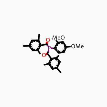 COc1ccc(P(C(=O)c2c(C)cc(C)cc2C)C(=O)c2c(C)cc(C)cc2C)c(OC)c1